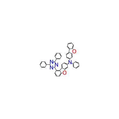 c1ccc(-c2nc(-c3ccccc3)nc(-c3cccc4oc5cc(N(c6ccccc6)c6ccc7c(c6)oc6ccccc67)ccc5c34)n2)cc1